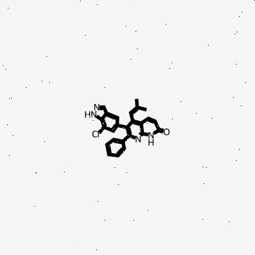 CC(C)=Cc1c(-c2cc(Cl)c3[nH]ncc3c2)c(-c2ccccc2)nc2[nH]c(=O)ccc12